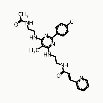 CC(=O)NCCNc1nc(-c2ccc(Cl)cc2)nc(NCCNC(=O)C=Cc2ccccn2)c1C